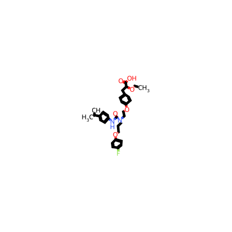 CCOC(Cc1ccc(OCCN(CCCOc2ccc(F)cc2)C(=O)Nc2ccc(C(C)C)cc2)cc1)C(=O)O